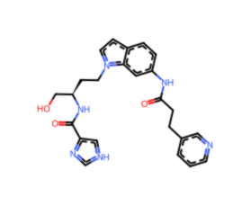 O=C(CCc1cccnc1)Nc1ccc2ccn(CC[C@H](CO)NC(=O)c3c[nH]cn3)c2c1